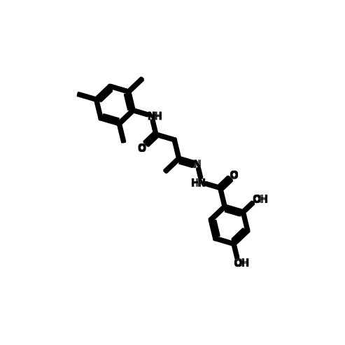 C/C(CC(=O)Nc1c(C)cc(C)cc1C)=N\NC(=O)c1ccc(O)cc1O